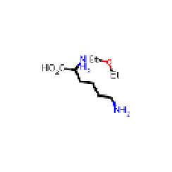 CCOCC.NCCCCC(N)C(=O)O